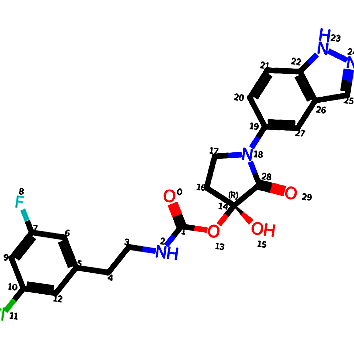 O=C(NCCc1cc(F)cc(Cl)c1)O[C@]1(O)CCN(c2ccc3[nH]ncc3c2)C1=O